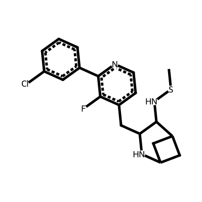 CSNC1C2CC(C2)NC1Cc1ccnc(-c2cccc(Cl)c2)c1F